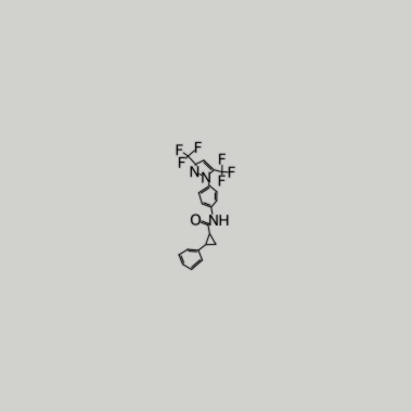 O=C(Nc1ccc(-n2nc(C(F)(F)F)cc2C(F)(F)F)cc1)C1CC1c1ccccc1